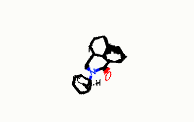 O=C1c2cccc3c2[C@H](CCC3)CN1[C@@H]1CC2CCC1CC2